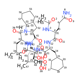 CC(=O)N[C@@H](CCC(N)=O)C(=O)N[C@@H](CC1CCCCC1)C(=O)N[C@@H](CC(=O)O)C(=O)N[C@@H](CC(C)C)C(=O)N1[C@H](C(=O)N[C@@H](CC(C)C)C(=O)O)C[C@@H]2CCCC[C@@H]21